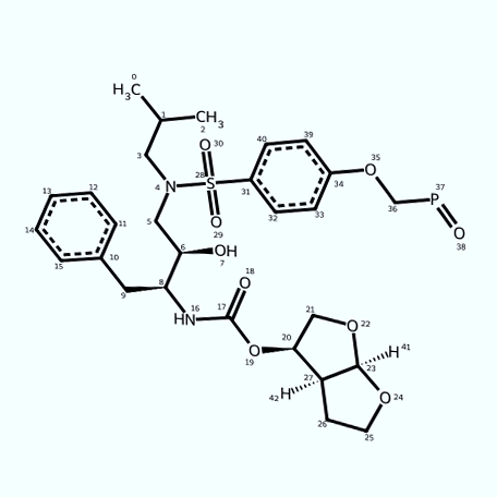 CC(C)CN(C[C@@H](O)[C@H](Cc1ccccc1)NC(=O)O[C@H]1CO[C@H]2OCC[C@H]21)S(=O)(=O)c1ccc(OCP=O)cc1